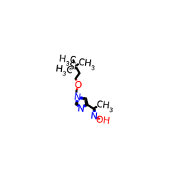 C/C(=N\O)c1cn(COCC[Si](C)(C)C)cn1